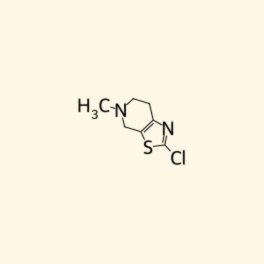 CN1CCc2nc(Cl)sc2C1